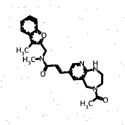 CC(=O)N1CCNc2ncc(/C=C/C(=O)N(C)Cc3oc4c#cccc4c3C)cc2C1